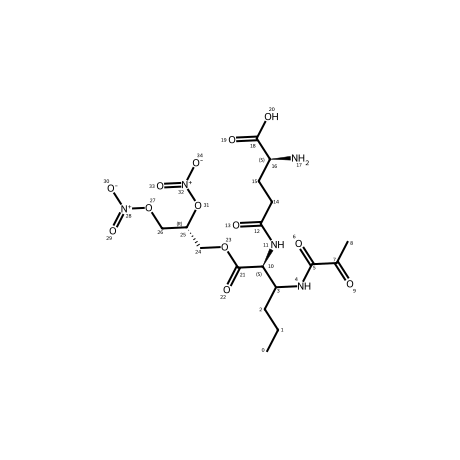 CCCC(NC(=O)C(C)=O)[C@H](NC(=O)CC[C@H](N)C(=O)O)C(=O)OC[C@H](CO[N+](=O)[O-])O[N+](=O)[O-]